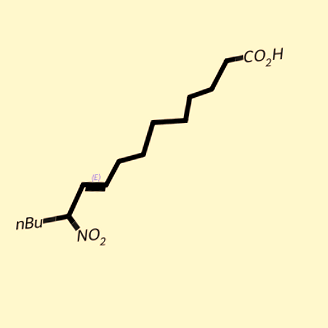 CCCCC(/C=C/CCCCCCCC(=O)O)[N+](=O)[O-]